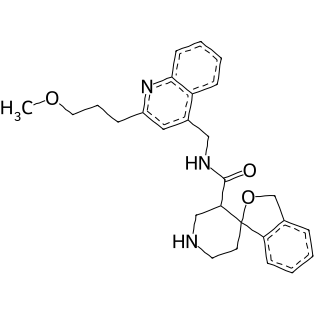 COCCCc1cc(CNC(=O)C2CNCCC23OCc2ccccc23)c2ccccc2n1